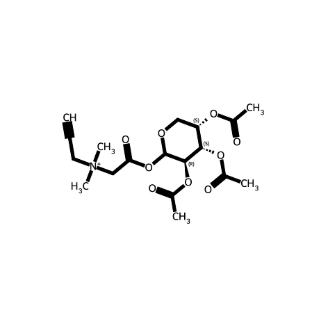 C#CC[N+](C)(C)CC(=O)OC1OC[C@H](OC(C)=O)[C@H](OC(C)=O)[C@H]1OC(C)=O